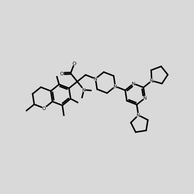 Cc1c(C)c(C(CN2CCN(c3cc(N4CCCC4)nc(N4CCCC4)n3)CC2)(C([O])=O)N(C)C)c(C)c2c1OC(C)CC2